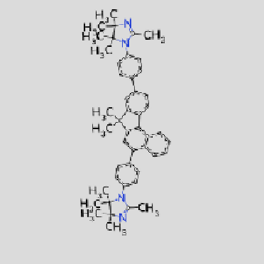 CC1=NC(C)(C)C(C)(C)N1c1ccc(-c2ccc3c(c2)C(C)(C)c2cc(-c4ccc(N5C(C)=NC(C)(C)C5(C)C)cc4)c4ccccc4c2-3)cc1